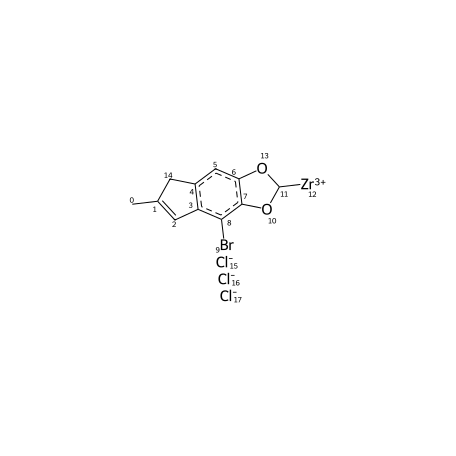 CC1=Cc2c(cc3c(c2Br)O[CH]([Zr+3])O3)C1.[Cl-].[Cl-].[Cl-]